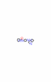 O=C(Nc1ccc(Nc2ccnc3ccccc23)cc1)c1ccccc1